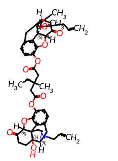 C=CCC1CC[C@]23c4c5ccc(OC(=O)CC(C)(CC)CC(=O)Oc6ccc7c8c6O[C@H]6C(=O)CC[C@@]9(O)[C@@H](C7)N(CC=C)CCC869)c4O[C@H]2C(=O)CC[C@@]3(OC)[C@@H](C5)C1C